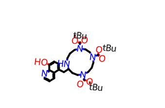 CC(C)(C)OC(=O)N1CCCN(C(=O)OC(C)(C)C)CCN(C(=O)OC(C)(C)C)CCCNC(Cc2ccc(O)c3ncccc23)CC1